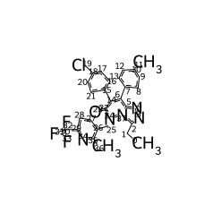 CCc1nnc2c(-c3ccc(C)cc3)c(-c3ccc(Cl)cc3)c(=O)n(Cc3ccc(C(F)(F)F)nc3C)n12